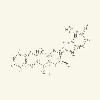 CC[C@H]1CN(C(C)c2ccc3nccnc3c2)[C@H](C)CN1n1cc2c(ccc(=O)n2C)n1